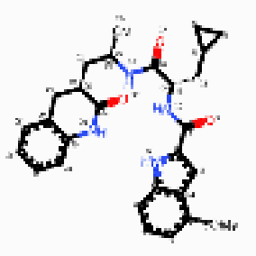 COc1cccc2[nH]c(C(=O)N[C@@H](CC3CC3)C(=O)N[C@H](C#N)C[C@@H]3Cc4ccccc4NC3=O)cc12